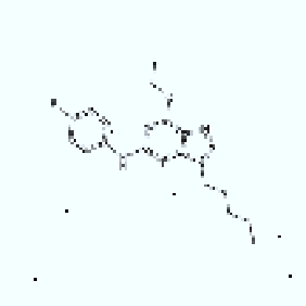 CCCCCn1cnc2c(OCC)nc(Nc3ccc(F)cc3)nc21